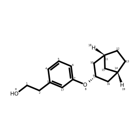 OCCc1cccc(O[C@@H]2C[C@@H]3CC[C@@H](C3)C2)c1